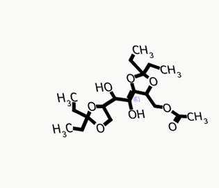 CCC1(CC)O/C(=C(/O)C(O)C2COC(CC)(CC)O2)C(COC(C)=O)O1